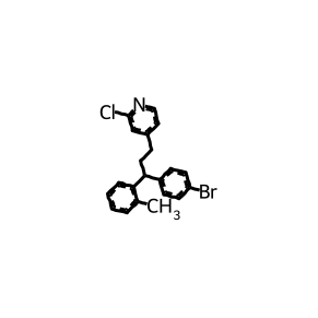 Cc1ccccc1C(CCc1ccnc(Cl)c1)c1ccc(Br)cc1